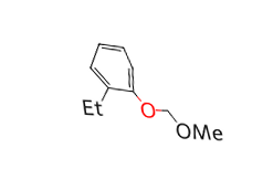 CCc1ccccc1OCOC